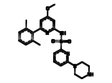 COc1cc(NS(=O)(=O)c2cccc(N3CCNCC3)n2)nc(-c2c(C)cccc2C)c1